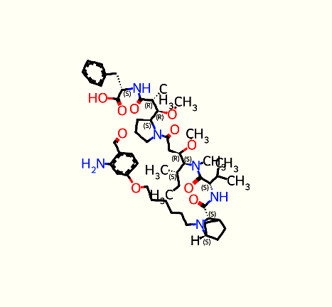 CC[C@H](C)[C@@H]([C@@H](CC(=O)N1CCC[C@H]1[C@H](OC)[C@@H](C)C(=O)N[C@@H](Cc1ccccc1)C(=O)O)OC)N(C)C(=O)[C@@H](NC(=O)[C@@H]1C2CC[C@@H](C2)N1CCCCCCOc1ccc(C=O)c(N)c1)C(C)C